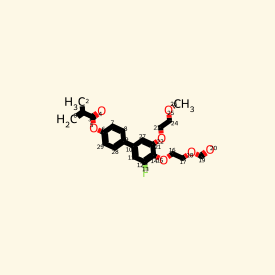 C=C(C)C(=O)Oc1ccc(-c2cc(F)c(OCCOC=O)c(OCCOC)c2)cc1